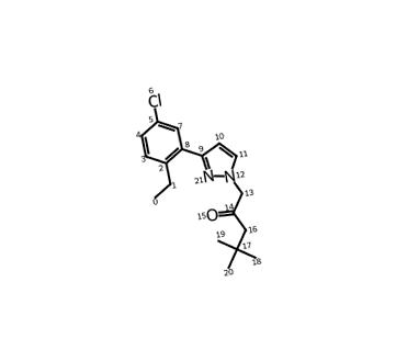 CCc1ccc(Cl)cc1-c1ccn(CC(=O)CC(C)(C)C)n1